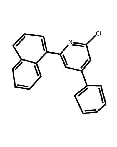 Clc1cc(-c2ccccc2)cc(-c2cccc3ccccc23)n1